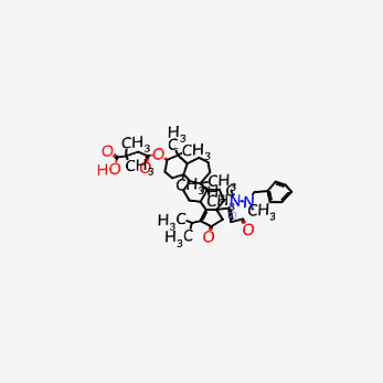 CC(C)C1=C2C3CCC4C5(C)CCC(OC(=O)CC(C)(C)C(=O)O)C(C)(C)C5CCCC4(C)[C@]3(C)CCC2(/C(=C/C=O)N(C)N(C)Cc2ccccc2)CC1=O